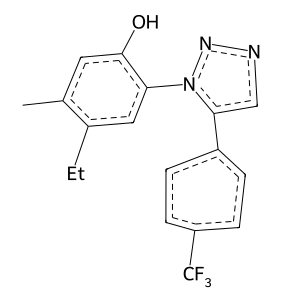 CCc1cc(-n2nncc2-c2ccc(C(F)(F)F)cc2)c(O)cc1C